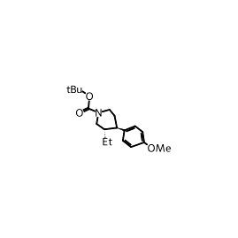 CC[C@@H]1CN(C(=O)OC(C)(C)C)CC[C@H]1c1ccc(OC)cc1